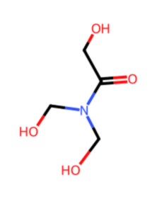 O=C(CO)N(CO)CO